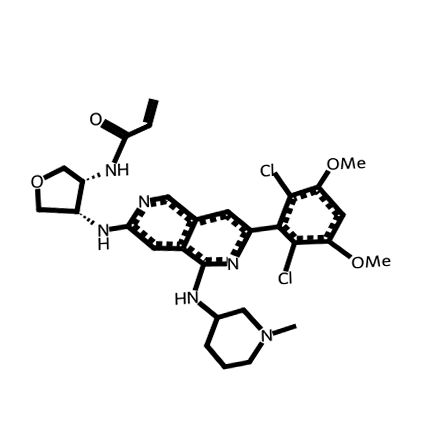 C=CC(=O)N[C@H]1COC[C@H]1Nc1cc2c(NC3CCCN(C)C3)nc(-c3c(Cl)c(OC)cc(OC)c3Cl)cc2cn1